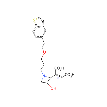 O=C(O)/C=C(\C(=O)O)C1C(O)CN1CCCOCCc1ccc2sccc2c1